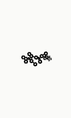 CC1(C)c2ccccc2-c2ccc(N(c3ccccc3)c3ccc(-c4cc5ccccc5c5c4c4cc(-c6ccccc6)ccc4n5-c4cc5ccccc5c5ccccc45)cc3)cc21